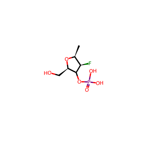 C[C@@H]1O[C@H](CO)C(OP(=O)(O)O)[C@@H]1F